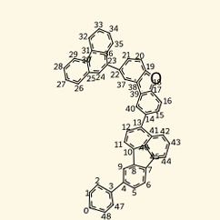 c1ccc(-c2ccc3c(c2)-c2ccc(-c4ccc5oc6ccc(-c7cc8ccccc8c8ccccc78)cc6c5c4)c4cccc-3c24)cc1